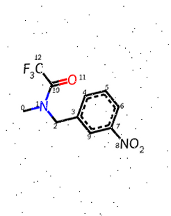 CN(Cc1cccc([N+](=O)[O-])c1)C(=O)C(F)(F)F